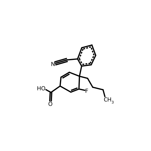 CCCCC1(c2ccccc2C#N)C=CC(C(=O)O)C=C1F